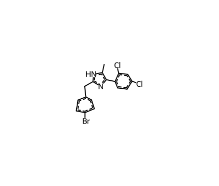 Cc1[nH]c(Cc2ccc(Br)cc2)nc1-c1ccc(Cl)cc1Cl